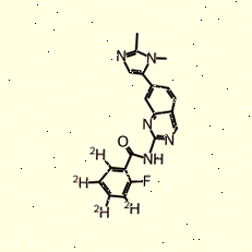 [2H]c1c([2H])c([2H])c(C(=O)Nc2ncc3ccc(-c4cnc(C)n4C)cc3n2)c(F)c1[2H]